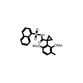 COc1ccc(C)c(OC)c1C1(C(=O)NS(=O)(=O)c2cccc3ccccc23)CC1